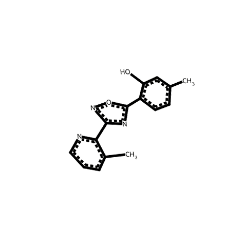 Cc1ccc(-c2nc(-c3ncccc3C)no2)c(O)c1